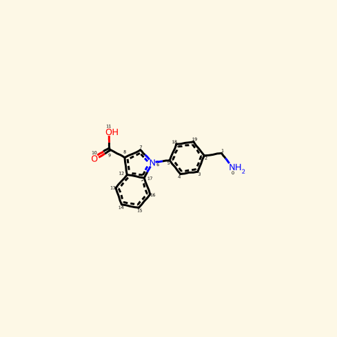 NCc1ccc(-n2cc(C(=O)O)c3ccccc32)cc1